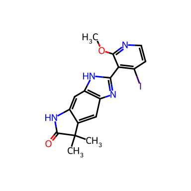 COc1nccc(I)c1-c1nc2cc3c(cc2[nH]1)NC(=O)C3(C)C